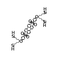 C[SiH](C)CCCCC(CCCC[SiH](C)C)Oc1ccc(N2C(=O)c3ccc4c5ccc6c7c(ccc(c8ccc(c3c48)C2=O)c75)C(=O)N(c2ccc(OC(CCCC[SiH](C)C)CCCC[SiH](C)C)cc2)C6=O)cc1